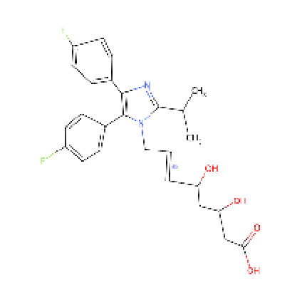 CC(C)c1nc(-c2ccc(F)cc2)c(-c2ccc(F)cc2)n1C/C=C/C(O)CC(O)CC(=O)O